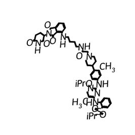 Cc1cc(Nc2ncc(C)c(Nc3ccccc3S(=O)(=O)C(C)C)n2)c(OC(C)C)cc1C1CCN(CC(=O)NCCCCNc2cccc3c2C(=O)N(C2CCC(=O)NC2=O)C3=O)CC1